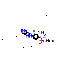 CCCCCCC(=O)Nc1ccc(NCc2cc[nH]c2)c(F)c1N